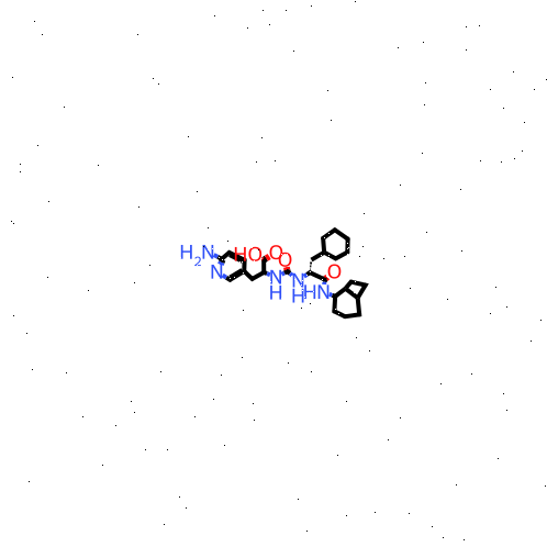 Nc1ccc(CC(NC(=O)N[C@H](CC2CCCCC2)C(=O)NC2CCCC3CCC32)C(=O)O)cn1